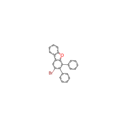 Brc1cc2c(oc3ccccc32)c(-c2ccccc2)c1-c1ccccc1